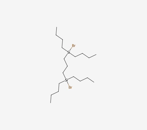 CCCC[Si](Br)(CCCC)CCC[Si](Br)(CCCC)CCCC